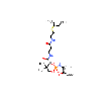 CCOC(=O)CC(SCCNC(=O)CCNC(=O)[C@@H]1OP(=O)(N[C@@H](C)C(=O)OC)OCC1(C)C)C(=O)OCC